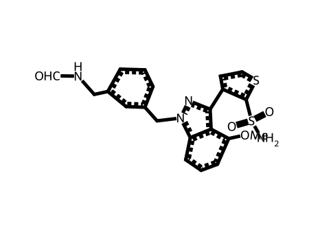 COc1cccc2c1c(-c1ccsc1S(N)(=O)=O)nn2Cc1cccc(CNC=O)c1